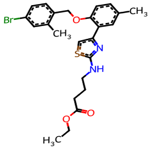 CCOC(=O)CCCNc1nc(-c2cc(C)ccc2OCc2ccc(Br)cc2C)cs1